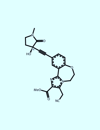 COC(=O)c1nc2n(c1CC#N)CCOc1ccc(C#C[C@]3(O)CCN(C)C3=O)cc1-2